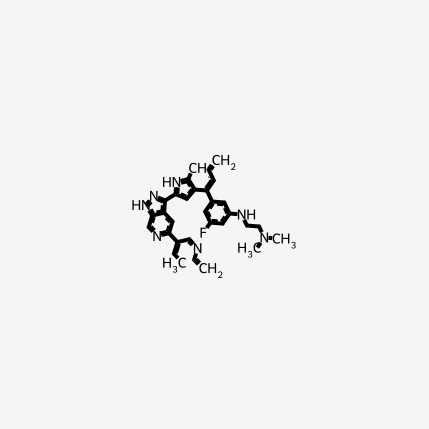 C=C/C=C(/c1cc(F)cc(NCCN(C)C)c1)c1cc(-c2n[nH]c3cnc(C(/C=N\C=C)=C/C)cc23)[nH]c1C